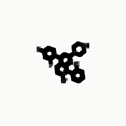 [O-][n+]1ccc2c(-c3ccc(F)cc3F)cc(N3CCNCC3)nc2c1-c1ccccc1Cl